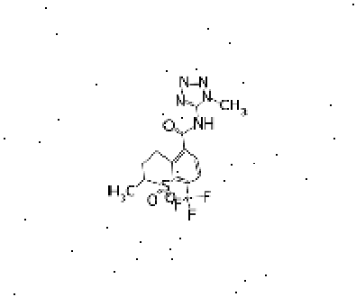 CC1CCc2c(C(=O)Nc3nnnn3C)ccc(C(F)(F)F)c2S1(=O)=O